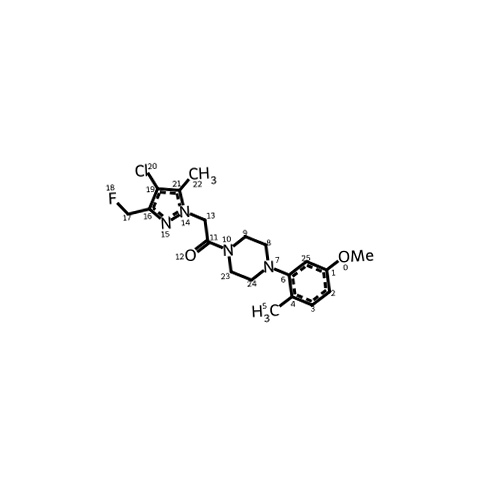 COc1ccc(C)c(N2CCN(C(=O)Cn3nc(CF)c(Cl)c3C)CC2)c1